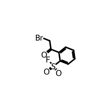 O=C(CBr)c1ccccc1S(=O)(=O)F